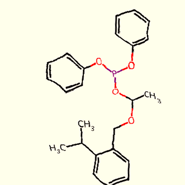 CC(OCc1ccccc1C(C)C)OP(Oc1ccccc1)Oc1ccccc1